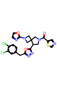 O=C(c1cncs1)N1CC(c2nnc(Cc3ccc(Cl)c(Cl)c3)o2)C2(C1)CN(c1ncco1)C2